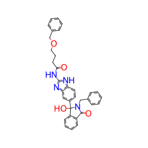 O=C(CCCOCc1ccccc1)Nc1nc2cc(C3(O)c4ccccc4C(=O)N3Cc3ccccc3)ccc2[nH]1